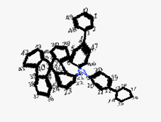 c1ccc(-c2ccc(N(c3ccc(C4CCCCC4)cc3)c3cccc4c3-c3ccccc3C43c4ccccc4-c4ccccc43)cc2)cc1